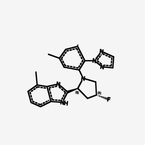 Cc1c[c]c(-n2nccn2)c(N2C[C@H](F)C[C@H]2c2nc3c(C)cccc3[nH]2)c1